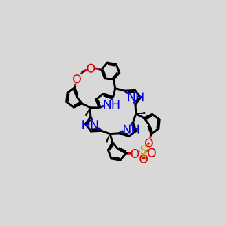 C[C@]12c3cccc(c3)OCOc3cccc(c3)[C@](C)(c3ccc1[nH]3)c1ccc([nH]1)[C@@]1(C)c3cccc(c3)OS(=O)(=O)Oc3cccc(c3)[C@@](C)(c3ccc2[nH]3)c2ccc1[nH]2